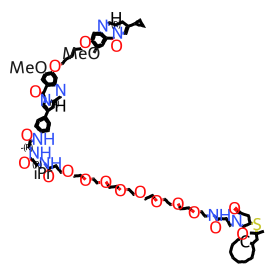 COc1cc2c(cc1OCCCCCOc1cc3c(cc1OC)C(=O)N1C=C(C4CC4)C[C@@H]1C=N3)N=C[C@H]1CC(c3ccc(NC(=O)[C@@H](C)NC(=O)[C@H](NC(=O)CCOCCOCCOCCOCCOCCOCCOCCOCCNC(=O)CCN4C(=O)CC(SC(C)(C)CC5CCCCCCCCC5)C4=O)C(C)C)cc3)=CN1C2=O